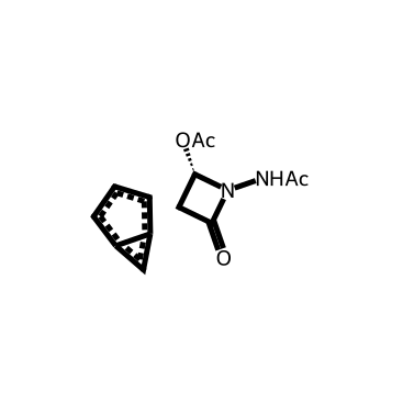 CC(=O)NN1C(=O)C[C@@H]1OC(C)=O.c1cc2cc-2c1